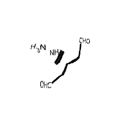 C=C.N.N.O=CCCCC=O